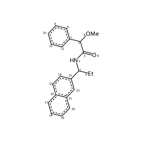 CCC(NC(=O)C(OC)c1ccccc1)c1ccc2ccccc2c1